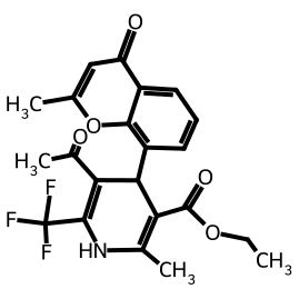 CCOC(=O)C1=C(C)NC(C(F)(F)F)=C(C(C)=O)C1c1cccc2c(=O)cc(C)oc12